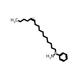 CCCC/C=C\CCCCCCCCCCN(N)c1ccccc1